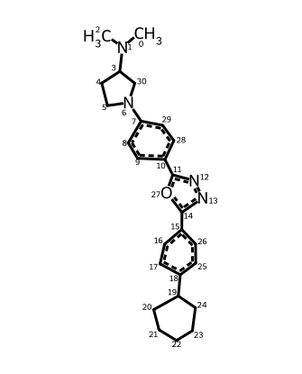 CN(C)C1CCN(c2ccc(-c3nnc(-c4ccc(C5CCCCC5)cc4)o3)cc2)C1